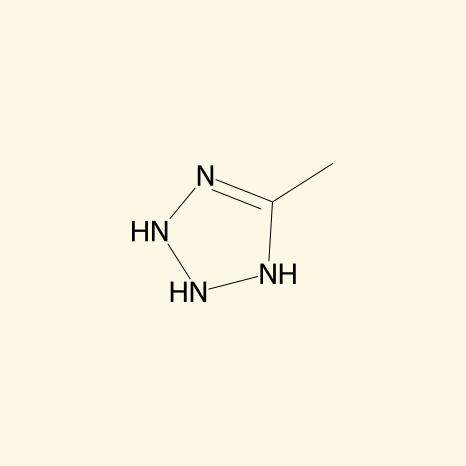 CC1=NNNN1